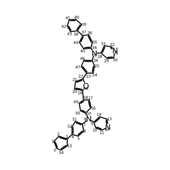 c1ccc(-c2ccc(N(c3ccncc3)c3ccc(-c4ccc(-c5ccc(N(c6ccncc6)c6ccc(-c7ccccc7)cc6)cc5)o4)cc3)cc2)cc1